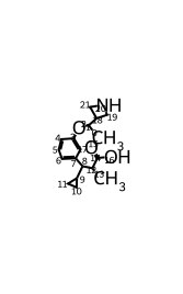 CC(Oc1cccc(C(C2CC2)C(C)C(=O)O)c1)C1CNC1